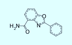 NC(=O)c1cccc2oc(-c3ccccc3)nc12